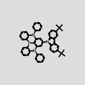 CC(C)(C)c1ccc2c(c1)c1cc(C(C)(C)C)ccc1n2-c1cc2c3c(c1)N(c1ccccc1)c1ccccc1P3c1ccccc1N2c1ccccc1